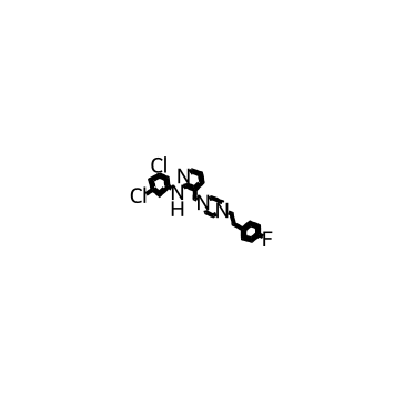 Fc1ccc(CCN2CCN(Cc3cccnc3Nc3cc(Cl)cc(Cl)c3)CC2)cc1